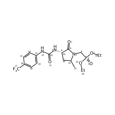 CCOP(=O)(CN1C(=O)[C@@H](NC(=O)Nc2ccc(C(F)(F)F)cc2)CC1C)OCC